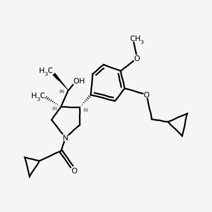 COc1ccc([C@@H]2CN(C(=O)C3CC3)C[C@@]2(C)[C@@H](C)O)cc1OCC1CC1